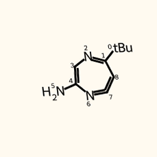 CC(C)(C)C1=NC=C(N)N=C=C1